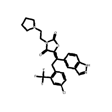 O=C1S/C(=C(/Cc2ccc(Cl)cc2C(F)(F)F)c2ccc3[nH]ncc3c2)C(=O)N1CCN1CCCC1